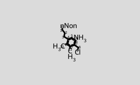 CCCCCCCCCCCCc1ccc(CCl)c(C)c1C.N